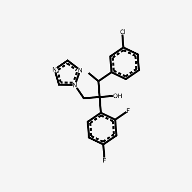 CC(c1cccc(Cl)c1)C(O)(Cn1cncn1)c1ccc(F)cc1F